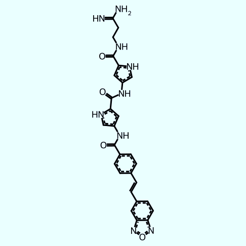 N=C(N)CCNC(=O)c1cc(NC(=O)c2cc(NC(=O)c3ccc(/C=C/c4ccc5nonc5c4)cc3)c[nH]2)c[nH]1